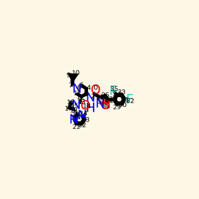 O=C(N[C@H]1CCN(CC2CC2)C[C@@H]1C(=O)N1CC[C@H]1c1ncccn1)c1cc(-c2ccc(F)cc2F)on1